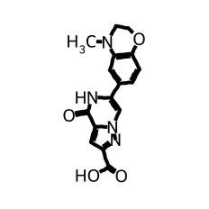 CN1CCOc2ccc(-c3cn4nc(C(=O)O)cc4c(=O)[nH]3)cc21